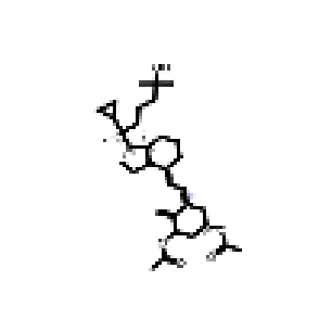 C=C1/C(=C\C=C2CCC[C@@]3(C)C2CC[C@@H]3[C@](C)(CCCC(C)(C)O)C2CC2)C[C@@H](OC(C)=O)CC1OC(C)=O